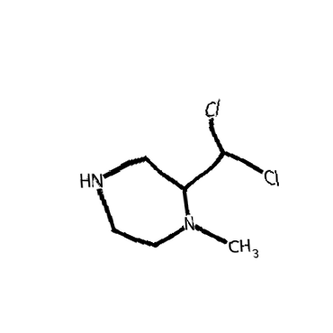 CN1CCNCC1C(Cl)Cl